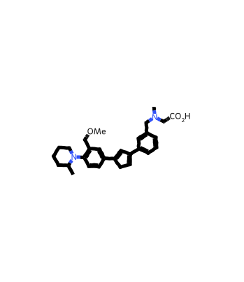 COCc1cc(C2=CC(c3cccc(CN(C)CC(=O)O)c3)=CC2)ccc1N1CCCCC1C